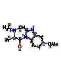 COc1ccc2c(c1)ncn2C(=O)C(C(C)C)N(C)C